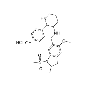 COc1cc2c(cc1CNC1CCCNC1c1ccccc1)N(S(C)(=O)=O)C(C)C2.Cl.Cl